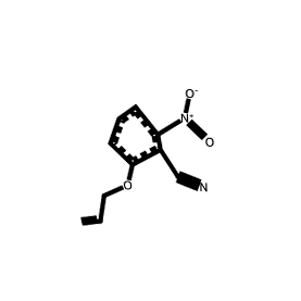 C=CCOc1cccc([N+](=O)[O-])c1C#N